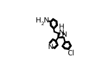 Nc1cccc(Cc2[nH]nc(-c3ccc(Cl)cc3)c2-c2ccncc2)c1